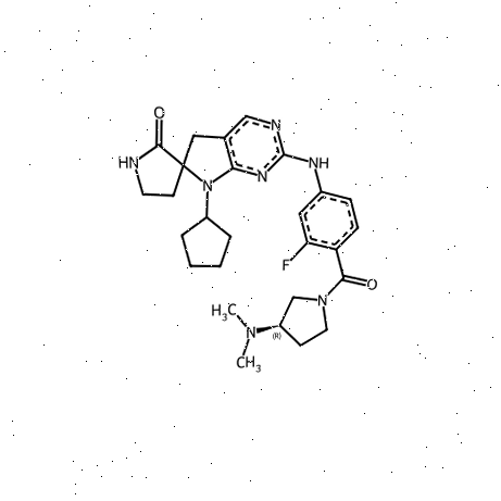 CN(C)[C@@H]1CCN(C(=O)c2ccc(Nc3ncc4c(n3)N(C3CCCC3)C3(CCNC3=O)C4)cc2F)C1